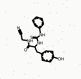 N#CCNC(=O)C(Cc1ccc(O)cc1)NC(=S)Nc1ccccc1